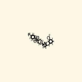 COc1cccc(Cc2csc(N3CCC(S(=O)(=O)c4ccc(F)cc4)CC3)n2)c1